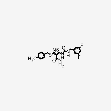 Cc1ccc(CSc2nsc(NC(=O)NCc3cc(F)cc(F)c3)c2C(N)=O)cc1